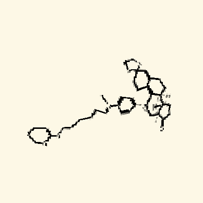 CN(CCCCCCOC1CCCCO1)c1ccc([C@H]2C[C@]3(C)C(=O)CC[C@H]3[C@@H]3CCC4=CC5(CCC4=C32)SCCS5)cc1